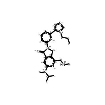 CCCn1cnnc1-c1cccc(N2Cc3c(cc(N(C)C(C)C)nc3CNC)C2=O)n1